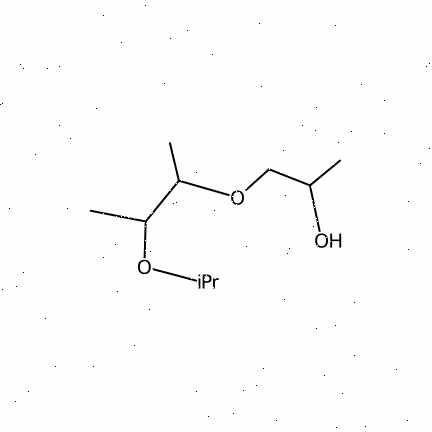 CC(O)COC(C)C(C)OC(C)C